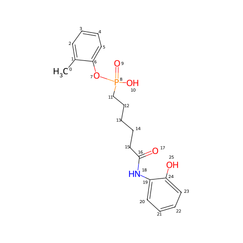 Cc1ccccc1OP(=O)(O)CCCCCC(=O)Nc1ccccc1O